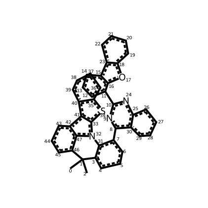 CC1(C)c2cccc(-c3nc(-c4cccc5c4oc4ccccc45)nc4ccccc34)c2-n2c3sc4ccccc4c3c3cccc1c32